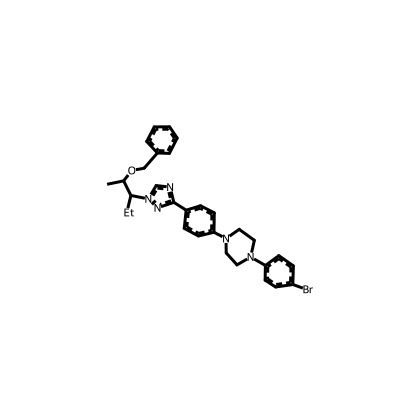 CCC(C(C)OCc1ccccc1)n1cnc(-c2ccc(N3CCN(c4ccc(Br)cc4)CC3)cc2)n1